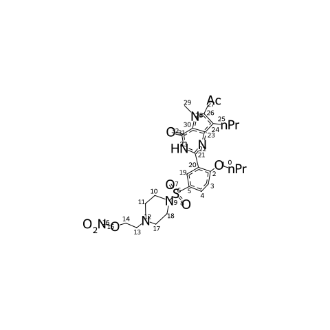 CCCOc1ccc(S(=O)(=O)N2CCN(CCO[N+](=O)[O-])CC2)cc1-c1nc2c(CCC)c(C(C)=O)n(C)c2c(=O)[nH]1